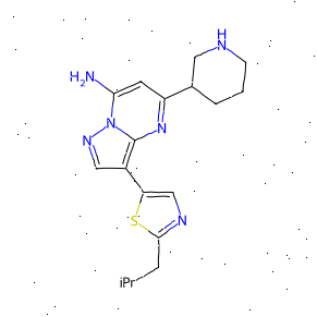 CC(C)Cc1ncc(-c2cnn3c(N)cc(C4CCCNC4)nc23)s1